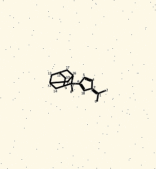 CC(C)=C1C=CC(C2(C)C3CC4CC(C3)CC2C4)=C1